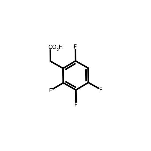 O=C(O)Cc1c(F)cc(F)c(F)c1F